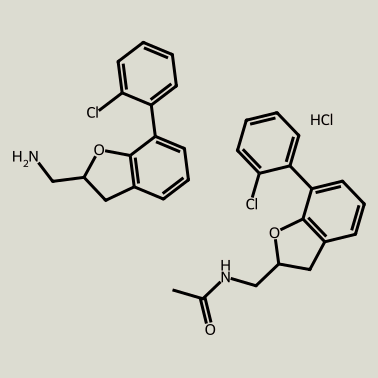 CC(=O)NCC1Cc2cccc(-c3ccccc3Cl)c2O1.Cl.NCC1Cc2cccc(-c3ccccc3Cl)c2O1